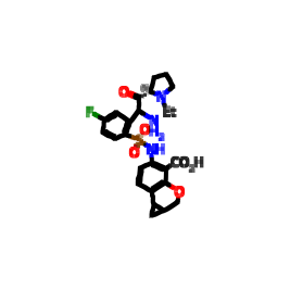 CCN1CCC[C@H]1C(=O)C(N)c1cc(F)ccc1S(=O)(=O)Nc1ccc2c(c1C(=O)O)OCC1CC21